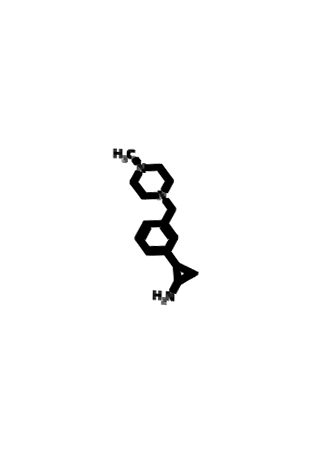 CN1CCN(Cc2cccc(C3CC3N)c2)CC1